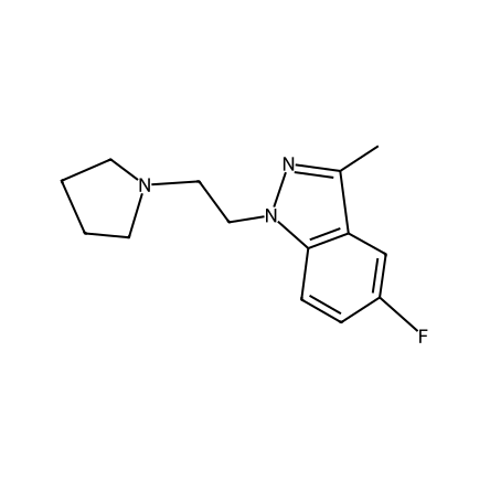 Cc1nn(CCN2CCCC2)c2ccc(F)cc12